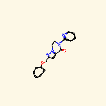 O=C1c2cc(COc3ccccc3)nn2CCN1c1ccccn1